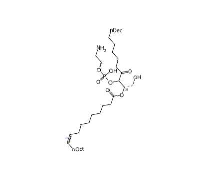 CCCCCCCC/C=C\CCCCCCCC(=O)O[C@@H](CO)C(OP(=O)(O)OCCN)C(=O)CCCCCCCCCCCCCCC